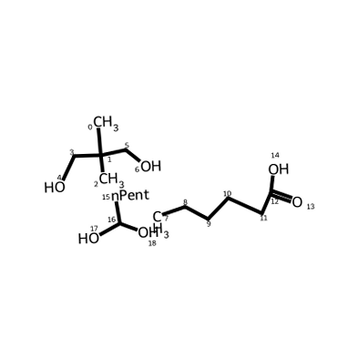 CC(C)(CO)CO.CCCCCC(=O)O.CCCCCC(O)O